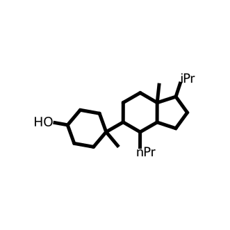 CCCC1C(C2(C)CCC(O)CC2)CCC2(C)C(C(C)C)CCC12